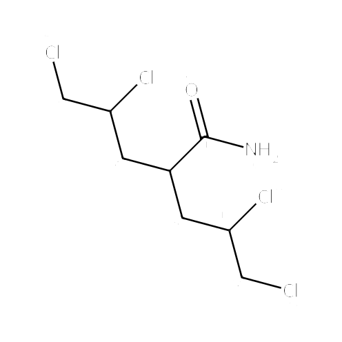 NC(=O)C(CC(Cl)CCl)CC(Cl)CCl